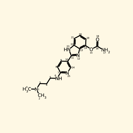 CN(C)CCCNc1ccc(-c2nc3c(OC(N)=O)cccc3[nH]2)cn1